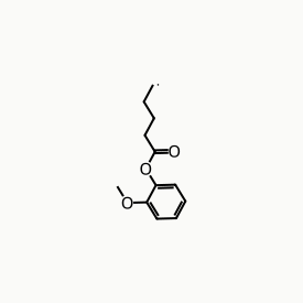 [CH2]CCCC(=O)Oc1ccccc1OC